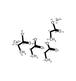 CCC(=O)[O-].CCC(=O)[O-].CCC(=O)[O-].CCC(=O)[O-].[Ca+2].[Sr+2]